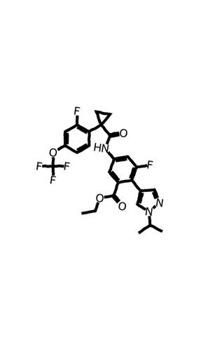 CCOC(=O)c1cc(NC(=O)C2(c3ccc(OC(F)(F)F)cc3F)CC2)cc(F)c1-c1cnn(C(C)C)c1